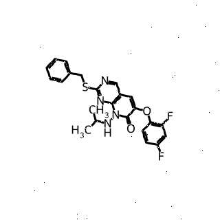 CC(C)Nn1c(=O)c(Oc2ccc(F)cc2F)cc2cnc(SCc3ccccc3)nc21